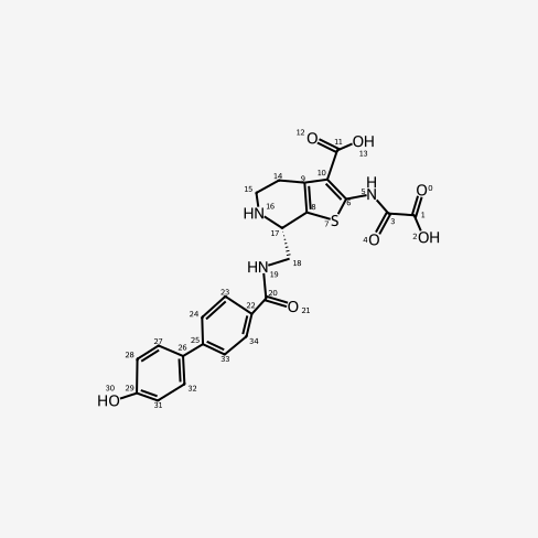 O=C(O)C(=O)Nc1sc2c(c1C(=O)O)CCN[C@H]2CNC(=O)c1ccc(-c2ccc(O)cc2)cc1